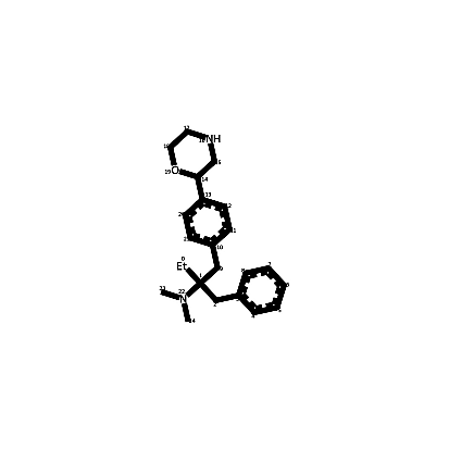 CCC(Cc1ccccc1)(Cc1ccc(C2CNCCO2)cc1)N(C)C